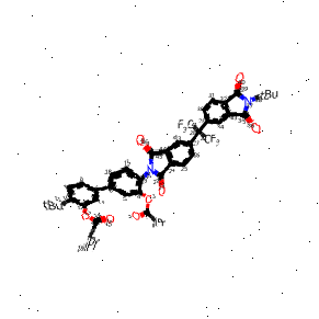 CC(C)C(=O)Oc1cc(-c2ccc(C(C)(C)C)c(OC(=O)C(C)C)c2)ccc1N1C(=O)c2ccc(C(c3ccc4c(c3)C(=O)N(C(C)(C)C)C4=O)(C(F)(F)F)C(F)(F)F)cc2C1=O